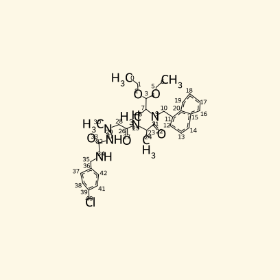 CCOC(OCC)C(C)N(Cc1cccc2ccccc12)C(=O)C(C)NC(=O)CN(C)NC(=O)NCc1ccc(Cl)cc1